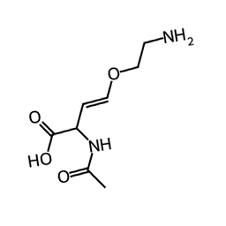 CC(=O)NC(/C=C/OCCN)C(=O)O